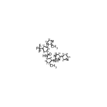 Cc1ccc(NC(=O)c2cc(-n3ccnc3C)cc(C(F)(F)F)c2)cc1Nc1nccc(-c2cccnc2)n1